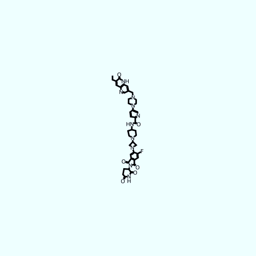 CCc1cc2ncc(CN3CCN(c4ccc(C(=O)NC5CCN(C6CN(c7cc8c(cc7F)C(=O)N(C7CCC(=O)NC7=O)C8=O)C6)CC5)nc4)CC3)cc2[nH]c1=O